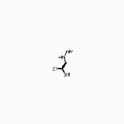 CCCN/C=C(/S)CC